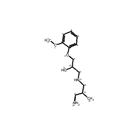 COc1ccccc1OCC(O)CNCC(C)CN